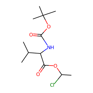 CC(Cl)OC(=O)C(NC(=O)OC(C)(C)C)C(C)C